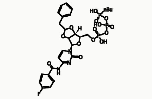 CCCCP(=O)(O)OP(=O)(O)OP(=O)(O)OC[C@H]1O[C@@H](n2ccc(NC(=O)c3ccc(F)cc3)nc2=O)C2OC(Cc3ccccc3)O[C@H]21